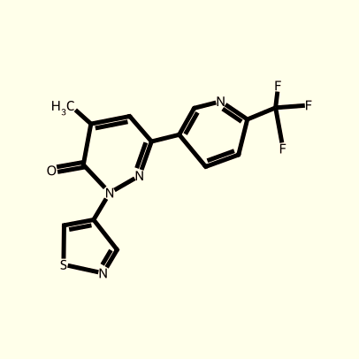 Cc1cc(-c2ccc(C(F)(F)F)nc2)nn(-c2cnsc2)c1=O